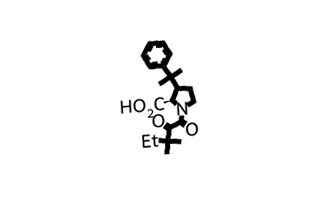 CCC(C)(C)C(=O)C(=O)N1CCC(C(C)(C)c2ccccc2)[C@H]1C(=O)O